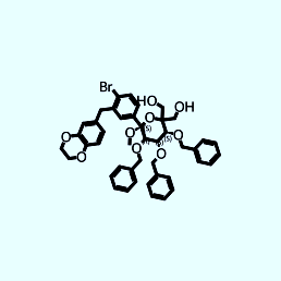 CO[C@@]1(c2ccc(Br)c(Cc3ccc4c(c3)OCCO4)c2)OC(CO)(CO)[C@@H](OCc2ccccc2)[C@H](OCc2ccccc2)[C@H]1OCc1ccccc1